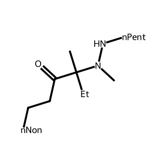 CCCCCCCCCCCC(=O)C(C)(CC)N(C)NCCCCC